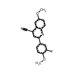 COc1ccc2nc(-c3ccc(OC)c(F)c3)cc(C#N)c2c1